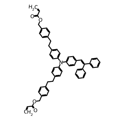 C=CC(=O)OCc1ccc(CCc2ccc(N(c3ccc(C=C(c4ccccc4)c4ccccc4)cc3)c3ccc(CCc4ccc(COC(=O)C=C)cc4)cc3)cc2)cc1